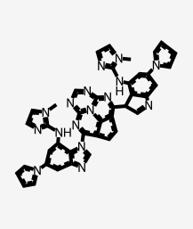 Cn1ccnc1Nc1cc(-n2cccc2)cc2c1C(c1nc3ncnc4nc(-n5cnc6cc(-n7cccc7)cc(Nc7nccn7C)c65)c5ccc1c5n34)C=N2